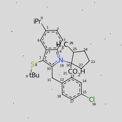 CC(C)c1ccc2c(c1)c(SC(C)(C)C)c(Cc1ccc(Cl)cc1)n2C1(C(=O)O)CCCC1C